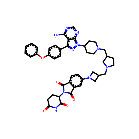 Nc1ncnc2c1c(-c1ccc(Oc3ccccc3)cc1)nn2C1CCN(CC2CCN(CC3CN(c4ccc5c(c4)C(=O)N(C4CCC(=O)NC4=O)C5=O)C3)C2)CC1